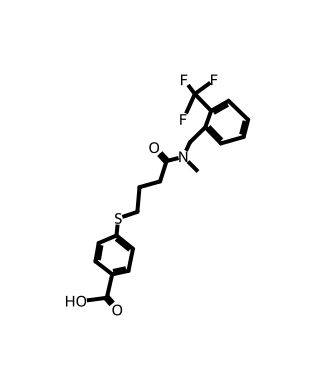 CN(Cc1ccccc1C(F)(F)F)C(=O)CCCSc1ccc(C(=O)O)cc1